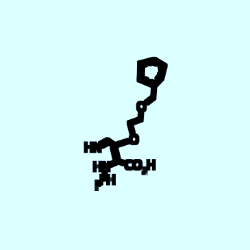 N=C/C(OCCOCc1ccccc1)=C(\NPI)C(=O)O